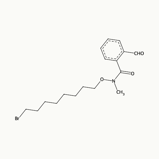 CN(OCCCCCCCCBr)C(=O)c1ccccc1C=O